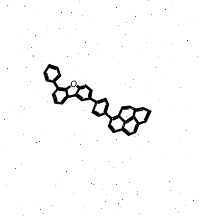 c1ccc(-c2cccc3c2oc2ccc(-c4ccc(-c5ccc6ccc7cccc8ccc5c6c78)cc4)cc23)cc1